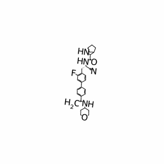 C=C(NC1CCOCC1)c1ccc(-c2ccc(C[C@@H](C#N)NC(=O)C3NC4CCC3C4)c(F)c2)cc1